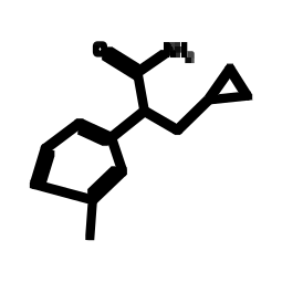 Cc1cccc(C(CC2CC2)C(N)=O)c1